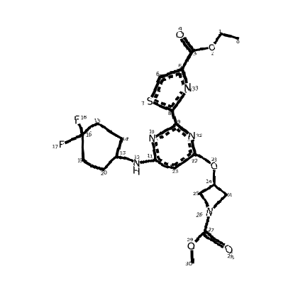 CCOC(=O)c1csc(-c2nc(NC3CCC(F)(F)CC3)cc(OC3CN(C(=O)OC)C3)n2)n1